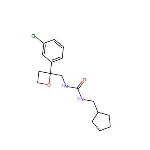 O=C(NCC1CCCC1)NCC1(c2cccc(Cl)c2)CCO1